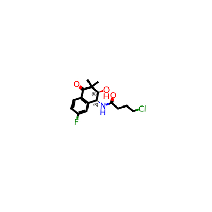 CC1(C)C(=O)c2ccc(F)cc2[C@@H](NC(=O)CCCCl)[C@@H]1O